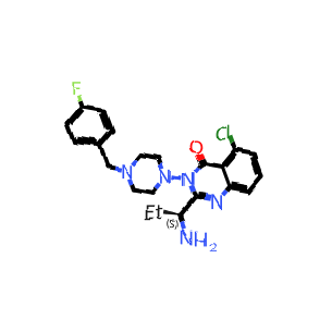 CC[C@H](N)c1nc2cccc(Cl)c2c(=O)n1N1CCN(Cc2ccc(F)cc2)CC1